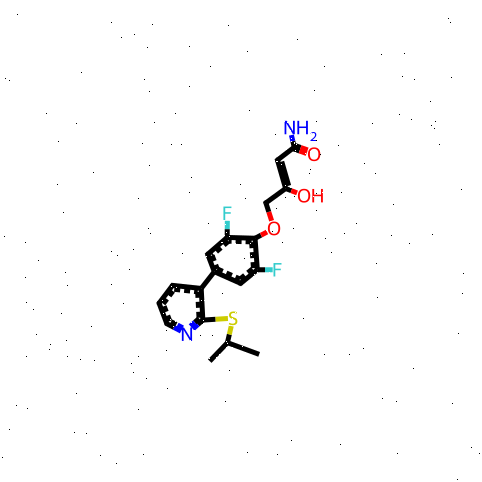 CC(C)Sc1ncccc1-c1cc(F)c(OC/C(O)=C/C(N)=O)c(F)c1